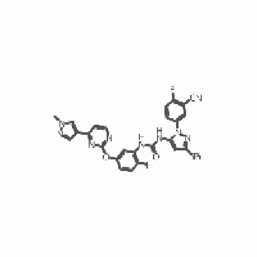 CC(C)c1cc(NC(=O)Nc2cc(Oc3nccc(-c4cnn(C)c4)n3)ccc2F)n(-c2ccc(F)c(C#N)c2)n1